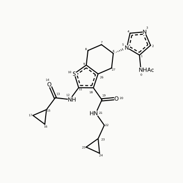 CC(=O)Nc1cncn1[C@H]1CCc2sc(NC(=O)C3CC3)c(C(=O)NCC3CC3)c2C1